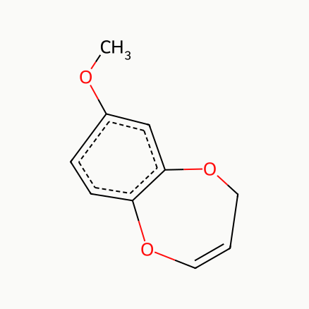 COc1ccc2c(c1)OCC=CO2